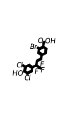 O=C(O)c1ccc(C=CC(c2cc(Cl)c(O)c(Cl)c2)C(F)(F)F)cc1Br